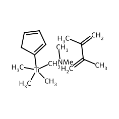 C=C(C)C(=C)C.CNC.[CH3][Ti]([CH3])([CH3])([CH3])[C]1=CC=CC1